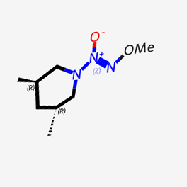 [CH2]O/N=[N+](\[O-])N1C[C@H](C)C[C@@H](C)C1